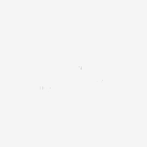 CC(=O)Oc1ccccc1-c1nc2ccccc2cc1C(=O)O